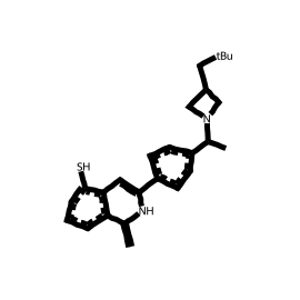 C=C1NC(c2ccc(C(C)N3CC(CC(C)(C)C)C3)cc2)=Cc2c(S)cccc21